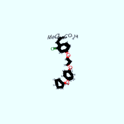 COC(Cc1ccc(OCCCOc2ccc(Oc3ccccc3)cc2)cc1Cl)C(=O)O